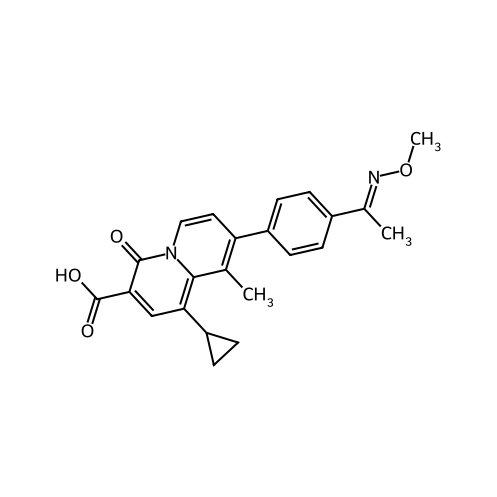 CON=C(C)c1ccc(-c2ccn3c(=O)c(C(=O)O)cc(C4CC4)c3c2C)cc1